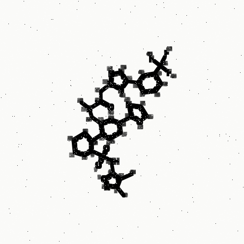 Cc1noc(NS(=O)(=O)c2ccccc2-c2ccc(-c3ncco3)cc2CN(C)C(=O)Cn2nnc(-c3cccc(C(F)(F)F)c3)n2)c1C